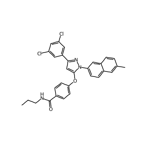 CCCNC(=O)c1ccc(Oc2cc(-c3cc(Cl)cc(Cl)c3)nn2-c2ccc3cc(C)ccc3c2)cc1